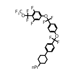 CCCC1CCC(c2ccc(C(F)(F)Oc3ccc(C(F)(F)Oc4cc(F)c(C(F)(F)OC(F)(F)F)c(F)c4)cc3)cc2)CC1